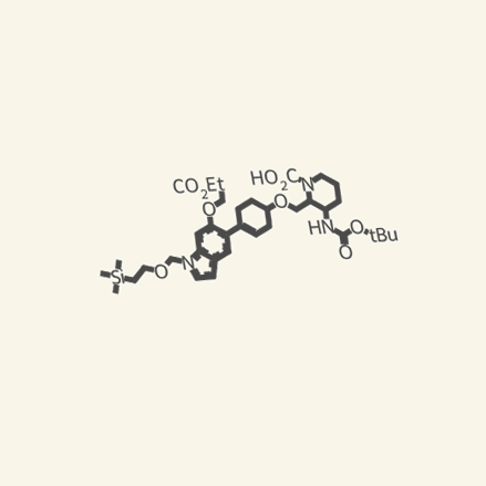 CCOC(=O)COc1cc2c(ccn2COCC[Si](C)(C)C)cc1C1=CCC(OCC2C(NC(=O)OC(C)(C)C)CCCN2C(=O)O)CC1